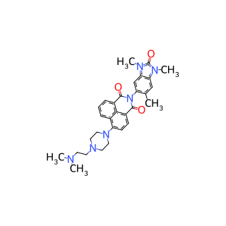 Cc1cc2c(cc1N1C(=O)c3cccc4c(N5CCN(CCN(C)C)CC5)ccc(c34)C1=O)n(C)c(=O)n2C